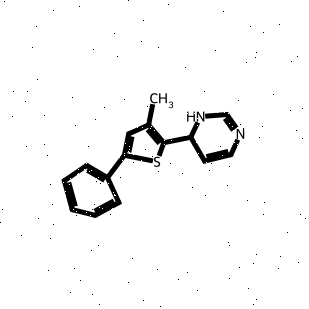 Cc1cc(-c2ccccc2)sc1C1C=CN=CN1